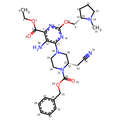 CCOC(=O)c1nc(OC[C@@H]2CCCN2C)nc(N2CCN(C(=O)OCc3ccccc3)[C@@H](CC#N)C2)c1N